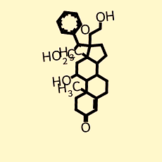 CC12CCC(=O)C=C1CCC1C2C(O)CC2(C)C1CCC2(C(=O)CO)C(C(=O)O)c1ccccc1